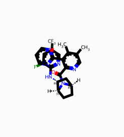 Cc1cnc(C(=O)N2[C@@H]3CC[C@H]2[C@H](Nc2ncc(C(F)(F)F)cc2F)C3)c(-c2ncccn2)c1C